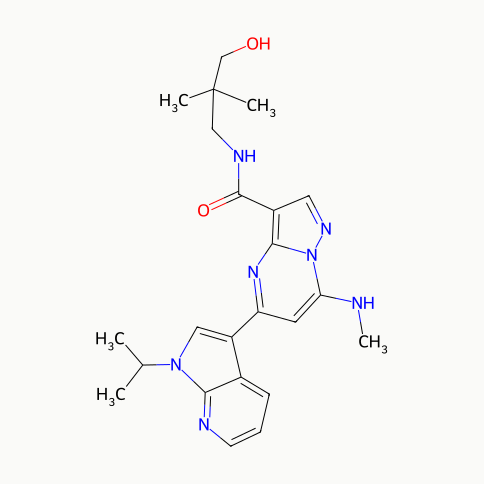 CNc1cc(-c2cn(C(C)C)c3ncccc23)nc2c(C(=O)NCC(C)(C)CO)cnn12